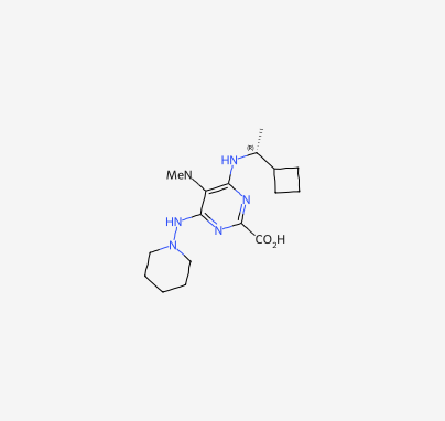 CNc1c(N[C@H](C)C2CCC2)nc(C(=O)O)nc1NN1CCCCC1